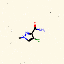 Cn1cc(Cl)c(C(N)=O)n1